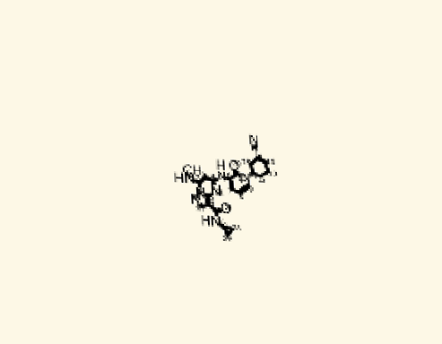 CNc1cc(Nc2cccn([C@H]3CCC[C@@H](C#N)C3)c2=O)nc2c(C(=O)NC3CC3)cnn12